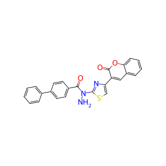 NN(C(=O)c1ccc(-c2ccccc2)cc1)c1nc(-c2cc3ccccc3oc2=O)cs1